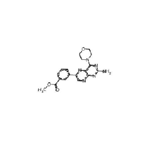 COC(=O)c1cccc(-c2cnc3nc(N)nc(N4CCOCC4)c3n2)c1